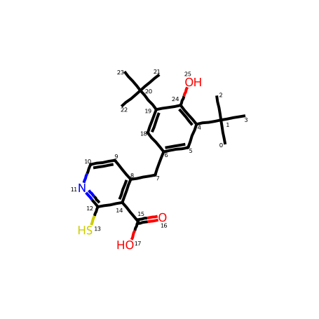 CC(C)(C)c1cc(Cc2ccnc(S)c2C(=O)O)cc(C(C)(C)C)c1O